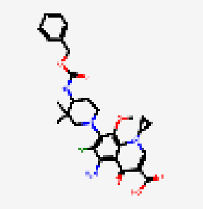 COc1c(N2CCC(NC(=O)OCc3ccccc3)C(C)(C)C2)c(F)c(N)c2c(=O)c(C(=O)O)cn(C3CC3)c12